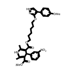 COC(=O)C1=C(C)NC(C)=C(C(=O)OCCCCCCOc2n[nH]cc2-c2ccc(OC)cc2)C1c1cccc([N+](=O)[O-])c1